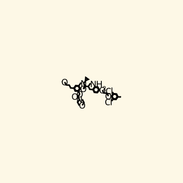 COCCCc1cc(CN(C(=O)C(CN)Cc2ccc(OCCOc3c(Cl)cc(C)cc3Cl)cc2)C2CC2)cc(OC(=O)N2CCOCC2)c1